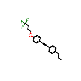 CCCc1ccc(C#Cc2ccc(OCCCC(F)(F)F)cc2)cc1